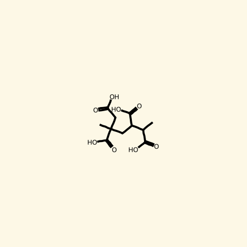 CC(C(=O)O)C(CC(C)(CC(=O)O)C(=O)O)C(=O)O